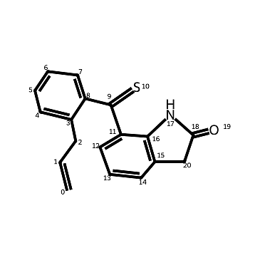 C=CCc1ccccc1C(=S)c1cccc2c1NC(=O)C2